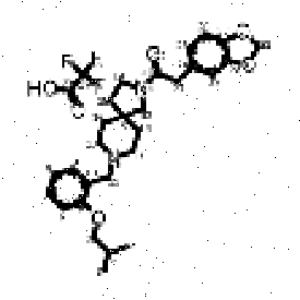 CC(C)COc1ccccc1CN1CCC2(CC1)CCN(C(=O)Cc1ccc3c(c1)OCO3)C2.O=C(O)C(F)(F)F